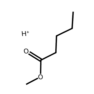 CCCCC(=O)OC.[H+]